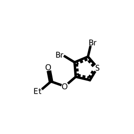 CCC(=O)Oc1csc(Br)c1Br